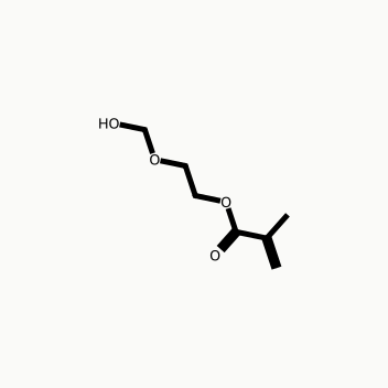 C=C(C)C(=O)OCCOCO